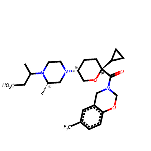 CC(CC(=O)O)N1CCN([C@@H]2CC[C@@](C(=O)N3COc4ccc(C(F)(F)F)cc4C3)(C3CC3)OC2)C[C@@H]1C